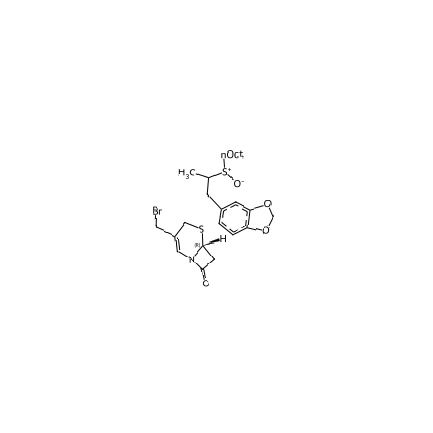 CCCCCCCC[S+]([O-])C(C)Cc1ccc2c(c1)OCO2.O=C1C[C@H]2SCC(CBr)=CN12